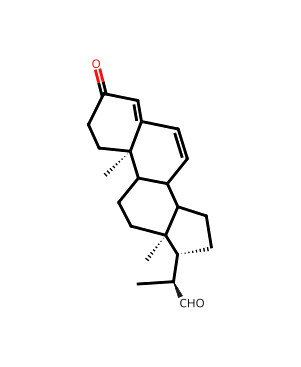 C[C@H](C=O)[C@H]1CCC2C3C=CC4=CC(=O)CC[C@]4(C)C3CC[C@@]21C